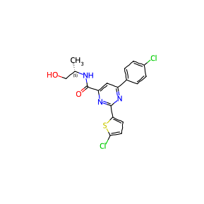 C[C@@H](CO)NC(=O)c1cc(-c2ccc(Cl)cc2)nc(-c2ccc(Cl)s2)n1